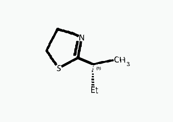 CC[C@@H](C)C1=NCCS1